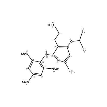 CCC(CC)Oc1cc(C)nc(Nc2c(NC)cc(NC)cc2NC)c1CCC(=O)O